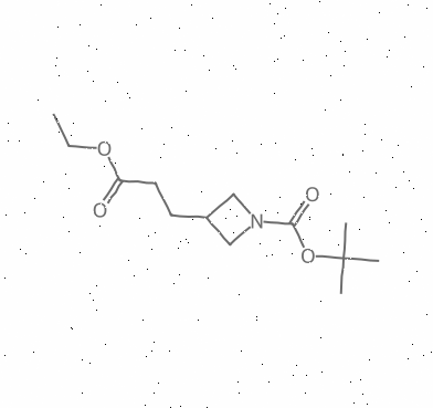 CCOC(=O)CCC1CN(C(=O)OC(C)(C)C)C1